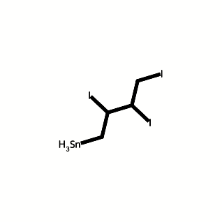 [SnH3][CH2]C(I)C(I)CI